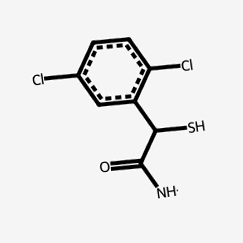 [NH]C(=O)C(S)c1cc(Cl)ccc1Cl